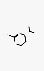 CC(C)[C@@H]1CCSC(N)=N1